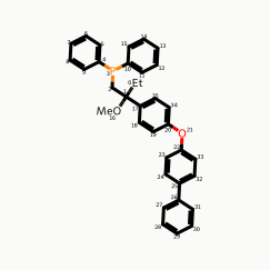 CCC(CP(c1ccccc1)c1ccccc1)(OC)c1ccc(Oc2ccc(-c3ccccc3)cc2)cc1